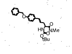 CNC(=O)C(C/C=C/c1ccc(OCc2ccccc2)cc1)NC(=O)OC(C)(C)C